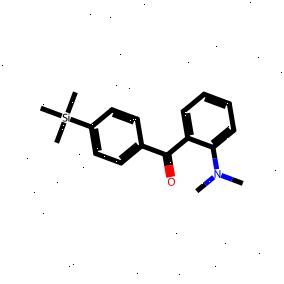 CN(C)c1ccccc1C(=O)c1ccc([Si](C)(C)C)cc1